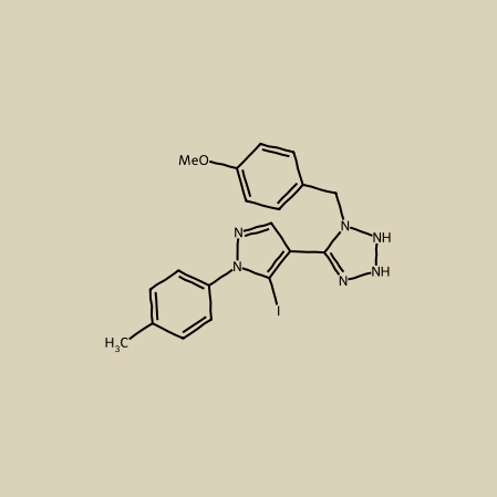 COc1ccc(CN2NNN=C2c2cnn(-c3ccc(C)cc3)c2I)cc1